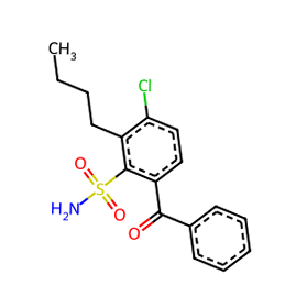 CCCCc1c(Cl)ccc(C(=O)c2ccccc2)c1S(N)(=O)=O